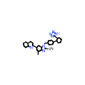 CCCc1nc2c(C)cc(-c3ccc4ccccc4n3)cc2n1Cc1ccc(-c2ccccc2-c2nnn[nH]2)cc1